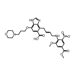 COC(=O)c1cc(OC)c(NCC=CCc2c(C(=O)O)cc(OCCCN3CCOCC3)c3[nH]cnc23)c([N+](=O)[O-])c1